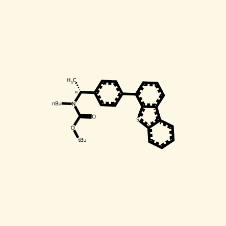 CCCCN(C(=O)OC(C)(C)C)[C@H](C)c1ccc(-c2cccc3c2sc2ccccc23)cc1